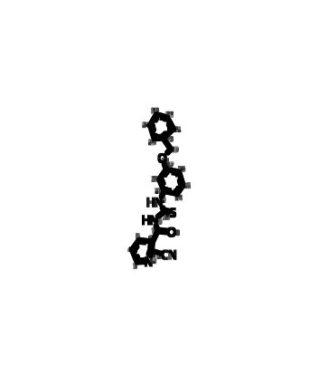 N#Cc1ncccc1C(=O)NC(=S)Nc1cccc(OCc2ccccc2)c1